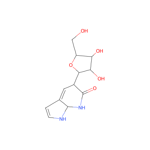 O=C1NC2NC=CC2=CC1C1OC(CO)C(O)C1O